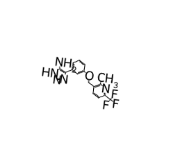 Cc1nc(C(F)(F)F)ccc1COc1cccc(-c2nn[nH]c2N)c1